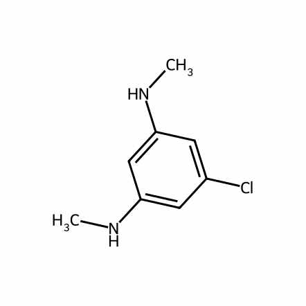 CNc1cc(Cl)cc(NC)c1